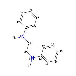 CN(CCN(C)c1ccccc1)c1ccccc1